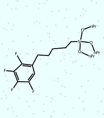 CCCO[Si](CCCCCc1cc(F)c(F)c(F)c1F)(OCCC)OCCC